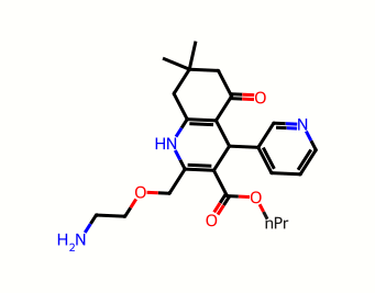 CCCOC(=O)C1=C(COCCN)NC2=C(C(=O)CC(C)(C)C2)C1c1cccnc1